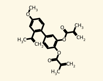 C=C(C)C(=O)Oc1ccc(-c2ccc(OC)cc2C(=C)C)cc1OC(=O)C(=C)C